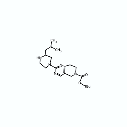 CN(C)C[C@H]1CN(c2ncc3c(n2)CCN(C(=O)OC(C)(C)C)C3)CCN1